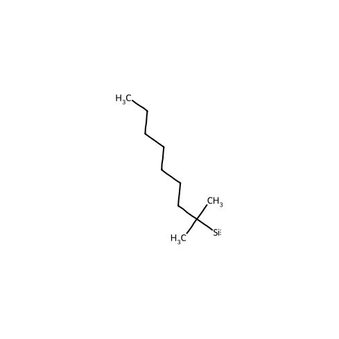 CCCCCCCC(C)(C)[Si]